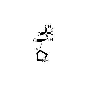 CS(=O)(=O)NC(=O)[C@H]1CCNC1